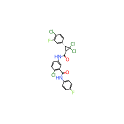 O=C(Nc1ccc(F)cc1)c1cc(NC(=O)[C@H]2[C@H](c3ccc(Cl)c(F)c3)C2(Cl)Cl)ccc1Cl